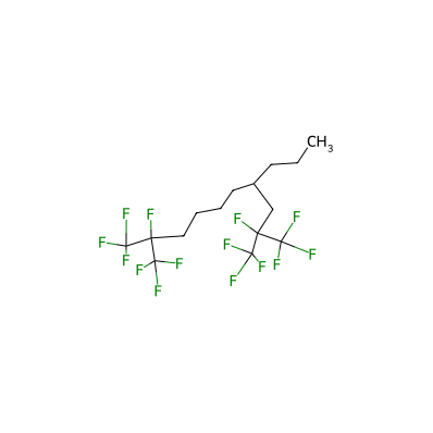 CCCC(CCCCC(F)(C(F)(F)F)C(F)(F)F)CC(F)(C(F)(F)F)C(F)(F)F